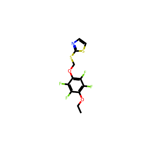 CCOc1c(F)c(F)c(OCSc2nccs2)c(F)c1F